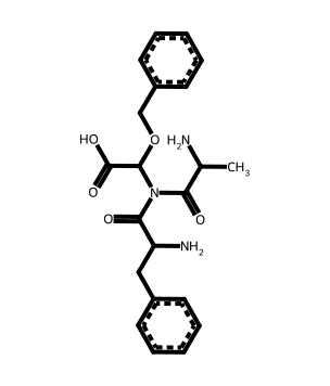 CC(N)C(=O)N(C(=O)C(N)Cc1ccccc1)C(OCc1ccccc1)C(=O)O